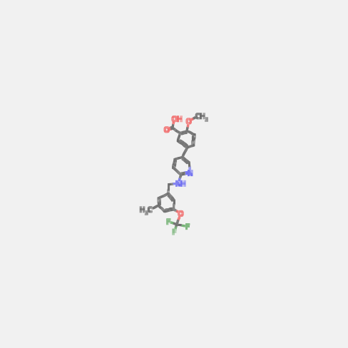 COc1ccc(-c2ccc(NCc3cc(C)cc(OC(F)(F)F)c3)nc2)cc1C(=O)O